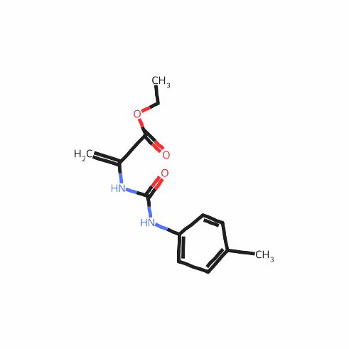 C=C(NC(=O)Nc1ccc(C)cc1)C(=O)OCC